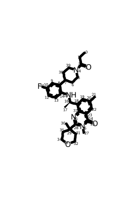 CCC(=O)N1CCC(c2cc(F)ccc2N[C@H](C)c2cc(C)cc3c(=O)n(C)c(C4(C)CCOCC4)nc23)CC1